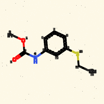 CC(C)OC(=O)Nc1cccc(SCC(C)(C)C)c1